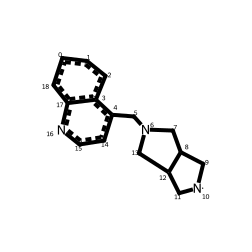 c1ccc2c(CN3CC4C[N]CC4C3)ccnc2c1